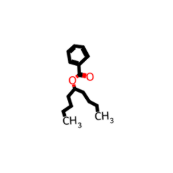 CCCCC(CCCC)OC(=O)c1ccccc1